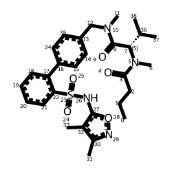 CCCC(=O)N(C)[C@H](C(=O)N(C)Cc1ccc(-c2ccccc2S(=O)(=O)Nc2onc(C)c2C)cc1)C(C)C